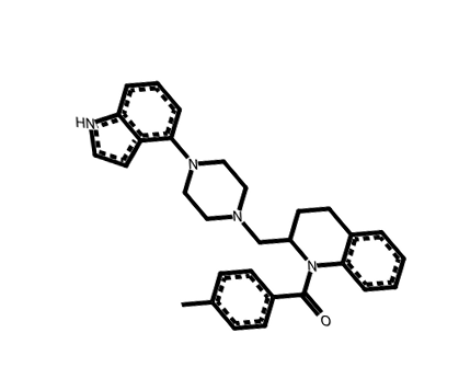 Cc1ccc(C(=O)N2c3ccccc3CCC2CN2CCN(c3cccc4[nH]ccc34)CC2)cc1